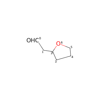 O=CC[C]1CCCO1